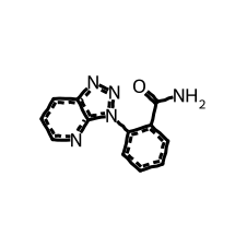 NC(=O)c1ccccc1-n1nnc2cccnc21